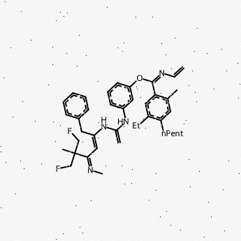 C=C/N=C(/Oc1cccc(NC(=C)N/C(=C/C(=N\C)C(C)(CF)CF)Cc2ccccc2)c1)c1cc(CC)c(CCCCC)cc1C